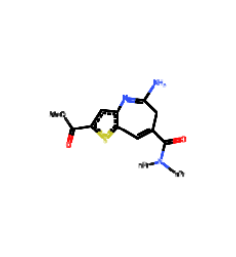 CCCN(CCC)C(=O)C1=Cc2sc(C(=O)OC)cc2N=C(N)C1